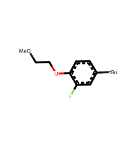 COCCOc1ccc(C(C)(C)C)cc1F